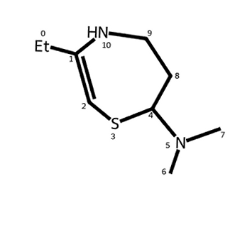 CCC1=CSC(N(C)C)CCN1